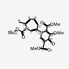 COC(=O)c1cn(C2=CN(C(=O)OC(C)(C)C)C(C)=CC=C2)c(C(=O)OC)c(OC)c1=O